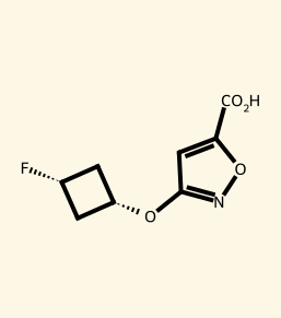 O=C(O)c1cc(O[C@H]2C[C@@H](F)C2)no1